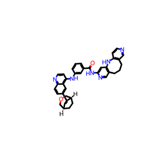 O=C(Nc1cc2c(cn1)CCCc1cnccc1N2)c1cccc(Nc2ccnc3ccc(C4=C[C@H]5CC[C@H]4COC5)cc23)c1